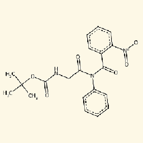 CC(C)(C)OC(=O)NCC(=O)N(C(=O)c1ccccc1[N+](=O)[O-])c1ccccc1